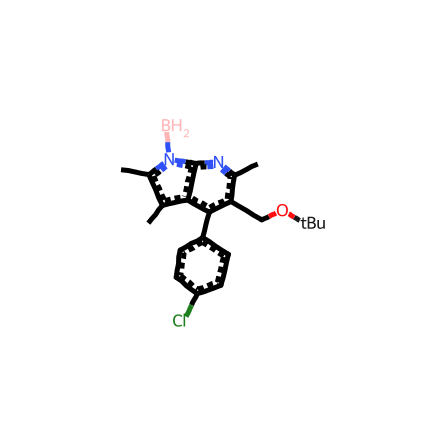 Bn1c(C)c(C)c2c(-c3ccc(Cl)cc3)c(COC(C)(C)C)c(C)nc21